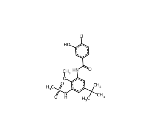 COc1c(NC(=O)c2ccc(Cl)c(O)c2)cc(C(C)(C)C)cc1NS(C)(=O)=O